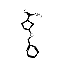 NC(=S)C1CCC(OCc2ccccc2)C1